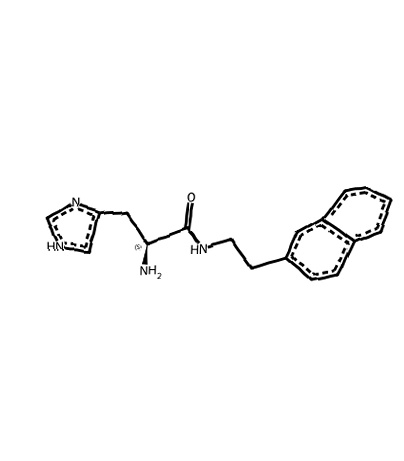 N[C@@H](Cc1c[nH]cn1)C(=O)NCCc1ccc2ccccc2c1